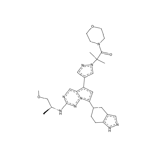 COC[C@H](C)Nc1ncc2c(-c3cnn(C(C)(C)C(=O)N4CCOCC4)c3)cc(C3CCc4[nH]ncc4C3)n2n1